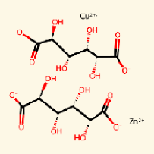 O=C([O-])[C@@H](O)[C@@H](O)[C@H](O)[C@@H](O)C(=O)[O-].O=C([O-])[C@@H](O)[C@@H](O)[C@H](O)[C@@H](O)C(=O)[O-].[Cu+2].[Zn+2]